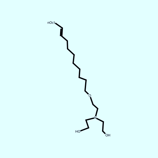 CCCCCCCC/C=C/CCCCCCCCOCCN(CCO)CCO